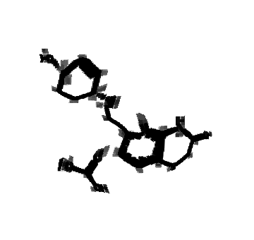 O=C(O)O.O=C1CSc2ccc(CN[C@H]3C=C[C@@H](O)CC3)nc2N1